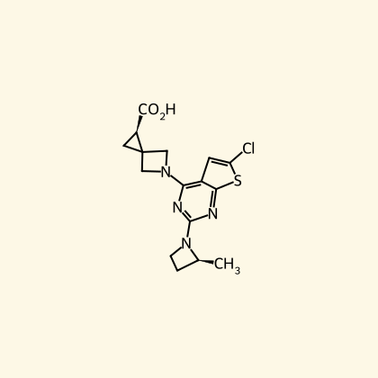 C[C@H]1CCN1c1nc(N2CC3(C[C@H]3C(=O)O)C2)c2cc(Cl)sc2n1